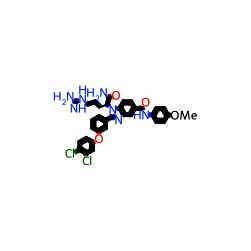 COc1ccc(NC(=O)c2ccc3c(c2)nc(-c2cccc(Oc4ccc(Cl)c(Cl)c4)c2)n3[C@@H](CCCNC(=N)N)C(N)=O)cc1